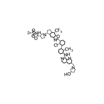 Cc1c(Nc2nccc3cc(CN4CC[C@@H](O)C4)cnc23)cccc1-c1cccc(-c2nc3cc4c(c(C(F)(F)F)c3o2)CC[C@H]4N2CC[C@@H](C(=O)NS(=O)(=O)C3CC3)C2)c1Cl